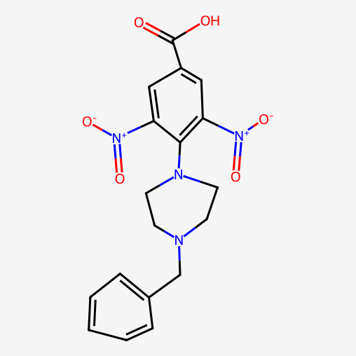 O=C(O)c1cc([N+](=O)[O-])c(N2CCN(Cc3ccccc3)CC2)c([N+](=O)[O-])c1